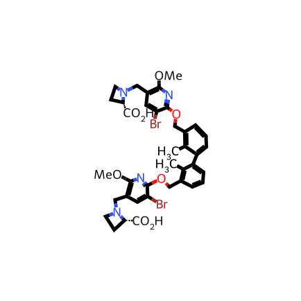 COc1nc(OCc2cccc(-c3cccc(COc4nc(OC)c(CN5CC[C@H]5C(=O)O)cc4Br)c3C)c2C)c(Br)cc1CN1CC[C@H]1C(=O)O